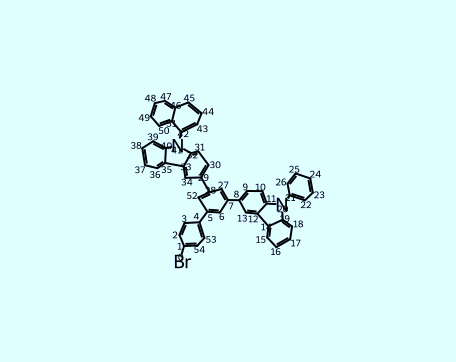 Brc1ccc(-c2cc(-c3ccc4c(c3)c3ccccc3n4-c3ccccc3)cc(-c3ccc4c(c3)c3ccccc3n4-c3cccc4ccccc34)c2)cc1